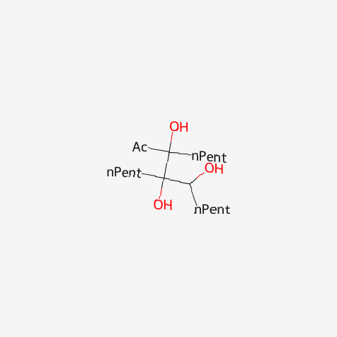 CCCCCC(O)C(O)(CCCCC)C(O)(CCCCC)C(C)=O